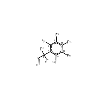 C=CC(F)(F)c1c(F)c(F)c(F)c(F)c1F